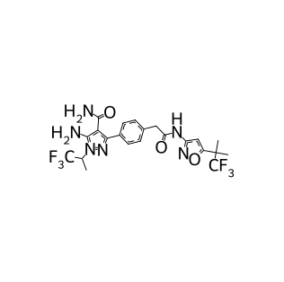 CC(n1nc(-c2ccc(CC(=O)Nc3cc(C(C)(C)C(F)(F)F)on3)cc2)c(C(N)=O)c1N)C(F)(F)F